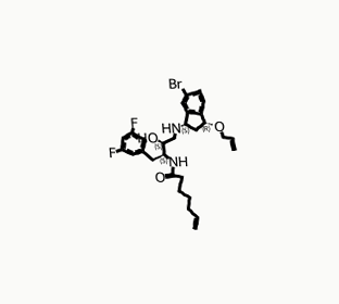 C=CCCCCC(=O)N[C@@H](Cc1cc(F)cc(F)c1)[C@@H](O)CN[C@H]1C[C@@H](OCC=C)c2ccc(Br)cc21